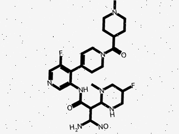 CN1CCC(C(=O)N2CC=C(c3c(F)cncc3NC(=O)C(C(N)N=O)C3NCC(F)CN3C)CC2)CC1